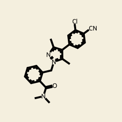 Cc1nn(Cc2ccccc2C(=O)N(C)C)c(C)c1-c1ccc(C#N)c(Cl)c1